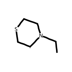 CCN1[CH]CSCC1